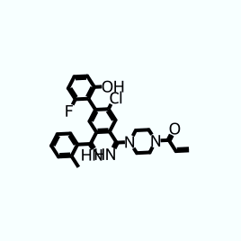 C=CC(=O)N1CCN(C(=N)c2cc(Cl)c(-c3c(O)cccc3F)cc2C(=N)c2ccccc2C)CC1